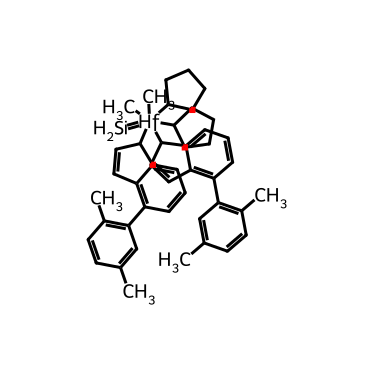 Cc1ccc(C)c(-c2cccc3c2C=C[CH]3[Hf]([CH3])([CH3])(=[SiH2])([CH]2CCCC2)([CH]2CCCC2)[CH]2C=Cc3c(-c4cc(C)ccc4C)cccc32)c1